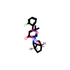 CC(C)(C)OC(=O)N1C[C@@H]2CC[C@@H](C1)C2(O)Cn1cnc(-c2ccccc2F)cc1=O